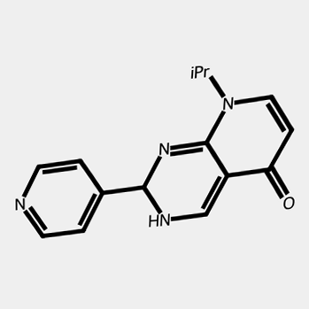 CC(C)n1ccc(=O)c2c1=NC(c1ccncc1)NC=2